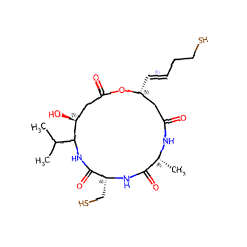 CC(C)C1NC(=O)[C@@H](CS)NC(=O)[C@@H](C)NC(=O)C[C@@H](/C=C/CCS)OC(=O)C[C@@H]1O